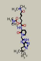 CN(C)C(=O)/C=C/CCC(OC(=O)N(C)C)C(=O)Nc1cccn(Cc2nc3c(CC(C)(C)C)ncnc3[nH]2)c1=O